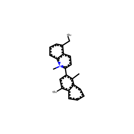 Cc1c(-c2ccc3c(CC(C)(C)C)cccc3[n+]2C)cc(C(C)(C)C)c2ccccc12